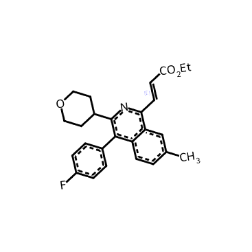 CCOC(=O)/C=C/c1nc(C2CCOCC2)c(-c2ccc(F)cc2)c2ccc(C)cc12